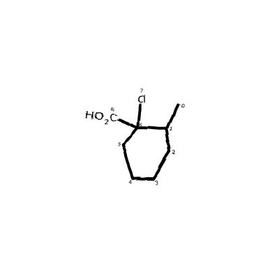 CC1CCCCC1(Cl)C(=O)O